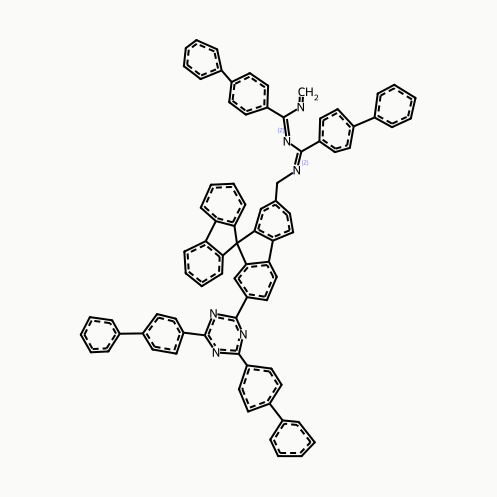 C=N/C(=N\C(=N/Cc1ccc2c(c1)C1(c3ccccc3-c3ccccc31)c1cc(-c3nc(-c4ccc(-c5ccccc5)cc4)nc(-c4ccc(-c5ccccc5)cc4)n3)ccc1-2)c1ccc(-c2ccccc2)cc1)c1ccc(-c2ccccc2)cc1